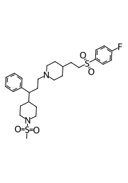 CS(=O)(=O)N1CCC(C(CCN2CCC(CCS(=O)(=O)c3ccc(F)cc3)CC2)c2ccccc2)CC1